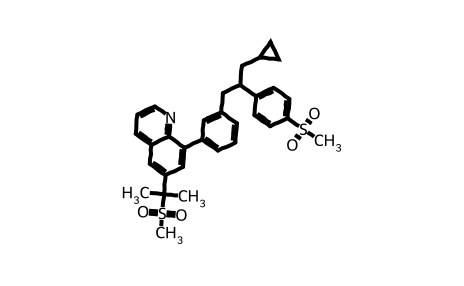 CC(C)(c1cc(-c2cccc(CC(CC3CC3)c3ccc(S(C)(=O)=O)cc3)c2)c2ncccc2c1)S(C)(=O)=O